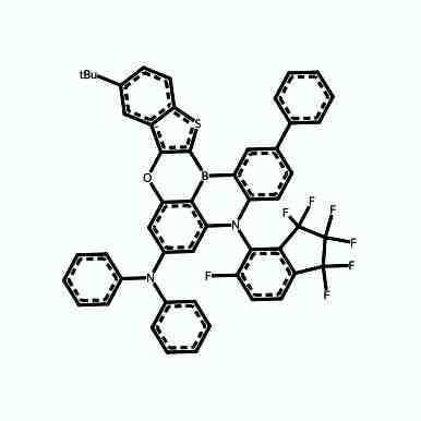 CC(C)(C)c1ccc2sc3c(c2c1)Oc1cc(N(c2ccccc2)c2ccccc2)cc2c1B3c1cc(-c3ccccc3)ccc1N2c1c(F)ccc2c1C(F)(F)C(F)(F)C2(F)F